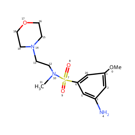 COc1cc(N)cc(S(=O)(=O)N(C)CCN2CCOCC2)c1